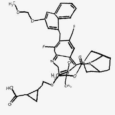 COCOc1cc(-c2c(F)cc3c(N4CC5CCC(C4)N5C(=O)OC(C)(C)C)nc(OCC4CC4C(=O)O)nc3c2F)c2ccccc2c1